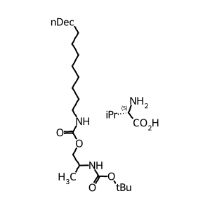 CC(C)[C@H](N)C(=O)O.CCCCCCCCCCCCCCCCCCNC(=O)OCC(C)NC(=O)OC(C)(C)C